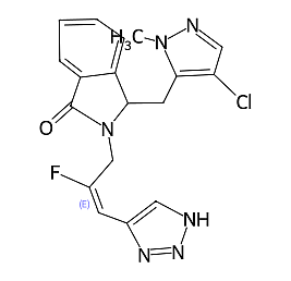 Cn1ncc(Cl)c1CC1c2ccccc2C(=O)N1C/C(F)=C\c1c[nH]nn1